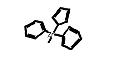 [CH3][Zr]([c]1ccccc1)([c]1ccccc1)[CH]1C=CC=C1